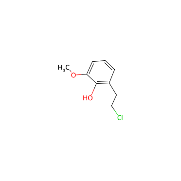 COc1cccc(CCCl)c1O